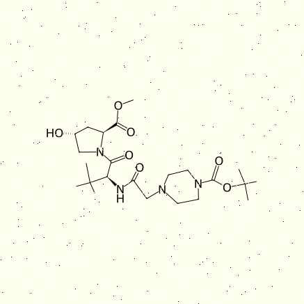 COC(=O)[C@@H]1C[C@@H](O)CN1C(=O)[C@@H](NC(=O)CN1CCN(C(=O)OC(C)(C)C)CC1)C(C)(C)C